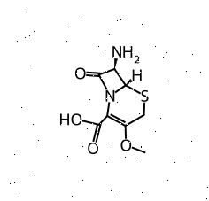 COC1=C(C(=O)O)N2C(=O)[C@@H](N)[C@@H]2SC1